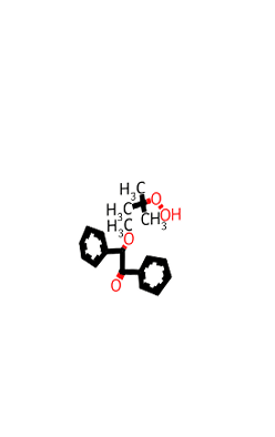 CC(C)(C)OO.COC(C(=O)c1ccccc1)c1ccccc1